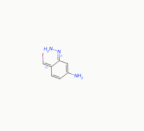 N/N=C1/C=C(N)C=C/C1=C/I